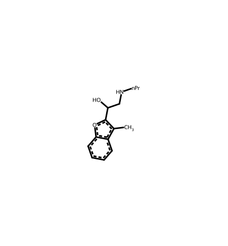 CCCNCC(O)c1oc2ccccc2c1C